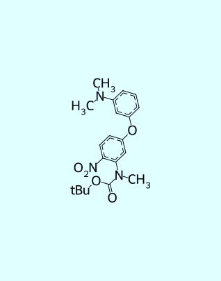 CN(C)c1cccc(Oc2ccc([N+](=O)[O-])c(N(C)C(=O)OC(C)(C)C)c2)c1